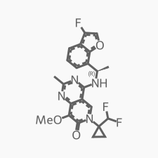 COc1c(=O)n(C2(C(F)F)CC2)cc2c(N[C@H](C)c3cccc4c(F)coc34)nc(C)nc12